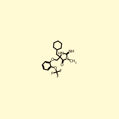 CN1C(=N)NC(COc2ccccc2OC(F)(F)F)(CC2CCCCC2)C1=O